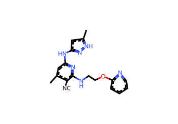 [C-]#[N+]c1c(C)cc(Nc2cc(C)[nH]n2)nc1NCCOc1ccccn1